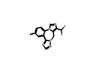 FC(F)c1ncn2c1Cn1ncnc1-c1cc(I)ccc1-2